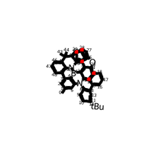 Cc1cc2c3c(c1)N(c1ccc(C(C)(C)C)cc1-c1ccccc1)c1ccc4oc5ccccc5c4c1B3N1c3ccccc3C(C)(C)c3cccc-2c31